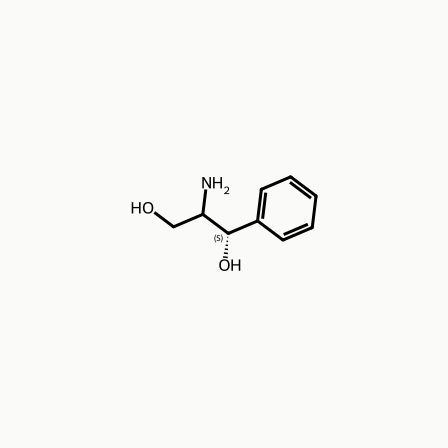 NC(CO)[C@@H](O)c1ccccc1